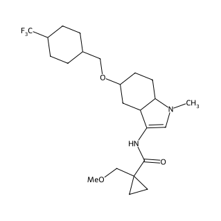 COCC1(C(=O)NC2=CN(C)C3CCC(OCC4CCC(C(F)(F)F)CC4)CC23)CC1